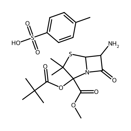 COC(=O)C1(OC(=O)C(C)(C)C)N2C(=O)C(N)C2SC1(C)C.Cc1ccc(S(=O)(=O)O)cc1